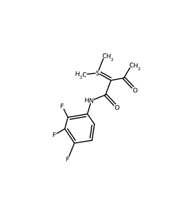 CC(=O)C(C(=O)Nc1ccc(F)c(F)c1F)=S(C)C